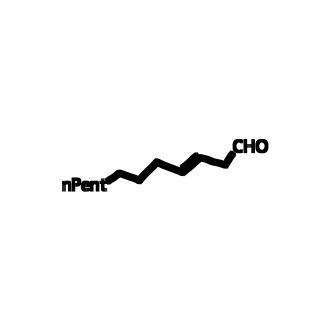 CCCCCCCCC=CCC=O